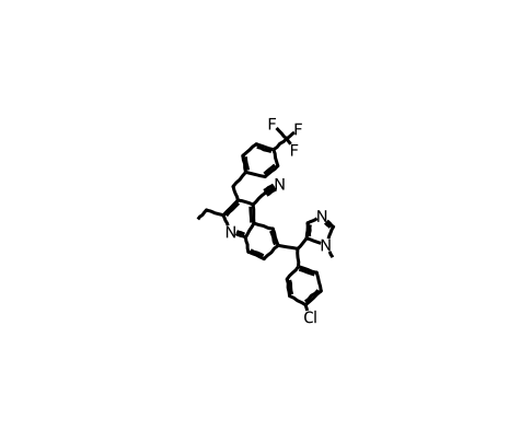 CCc1nc2ccc(C(c3ccc(Cl)cc3)c3cncn3C)cc2c(C#N)c1Cc1ccc(C(F)(F)F)cc1